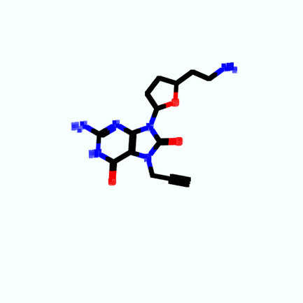 C#CCn1c(=O)n(C2CCC(CCN)O2)c2nc(N)[nH]c(=O)c21